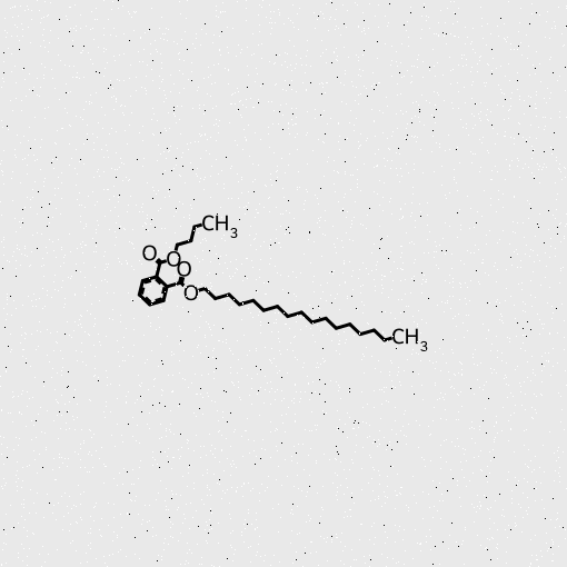 CCCCCCCCCCCCCCCCCOC(=O)c1ccccc1C(=O)OCCCC